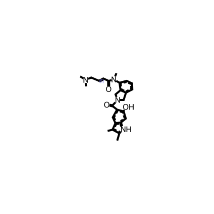 Cc1[nH]c2cc(O)c(C(=O)N3Cc4cccc(N(C)C(=O)/C=C/CN(C)C)c4C3)cc2c1C